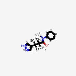 CCCCN(C(=O)C(C)(C)C(C#N)(CC)c1cn[nH]c1)c1ccccc1